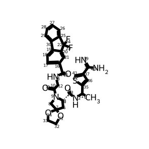 CC(NC(=O)[C@@H]1CC2(CN1C(=O)CNC(=O)c1ccc3c(c1)C(F)(F)c1ccccc1-3)OCCO2)c1cc(C(=N)N)cs1